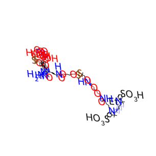 CCN1\C(=C/C=C/C=C/C2=[N+](CCCCCC(=O)NCCOCCOCCNOCCC(C)(C)SSCOCCCCOC(=O)NCC#Cc3cn([C@H]4C[C@H](OCS(C)=S)[C@@H](COP(=O)(O)OP(=O)(O)OP(=O)(O)O)O4)c4nc(N)[nH]c(=O)c34)c3ccc(S(=O)(=O)O)cc3C2(C)C)C(C)(C)c2cc(S(=O)(=O)O)ccc21